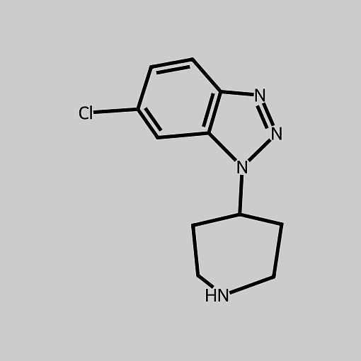 Clc1ccc2nnn(C3CCNCC3)c2c1